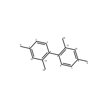 Cc1ccc(-c2ccc(C)cc2C)c(C)c1